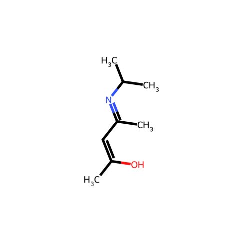 C/C(O)=C/C(C)=N/C(C)C